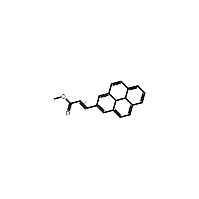 COC(=O)/C=C/C1=CC2=CC=C3C=CC=C4C=CC(=C1)C2C43